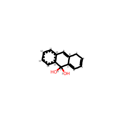 OC1(O)C2=CC=CCC2=Cc2ccccc21